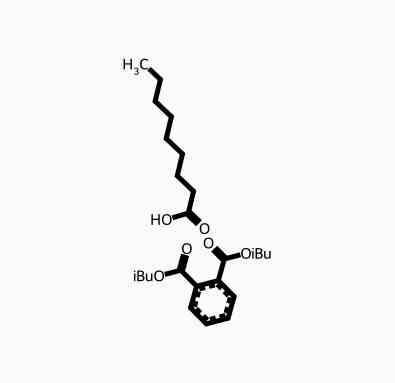 CC(C)COC(=O)c1ccccc1C(=O)OCC(C)C.CCCCCCCCC(=O)O